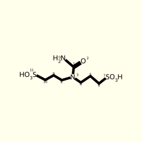 NC(=O)N(CCCS(=O)(=O)O)CCCS(=O)(=O)O